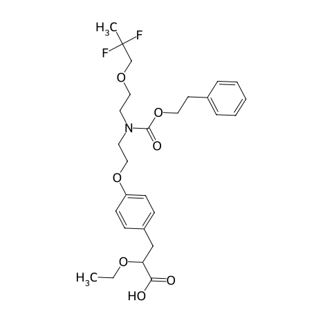 CCOC(Cc1ccc(OCCN(CCOCC(C)(F)F)C(=O)OCCc2ccccc2)cc1)C(=O)O